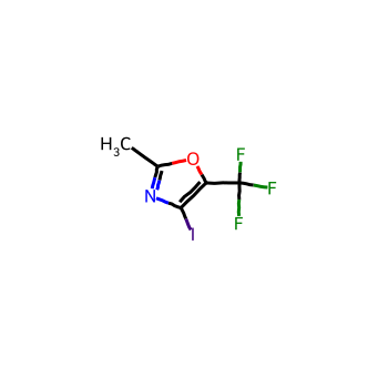 Cc1nc(I)c(C(F)(F)F)o1